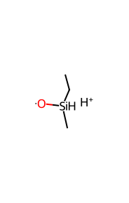 CC[SiH](C)[O].[H+]